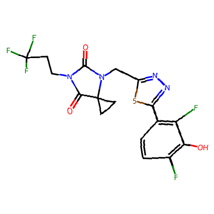 O=C1N(CCC(F)(F)F)C(=O)C2(CC2)N1Cc1nnc(-c2ccc(F)c(O)c2F)s1